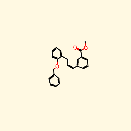 COC(=O)c1cccc(/C=C\Cc2ccccc2OCc2ccccc2)c1